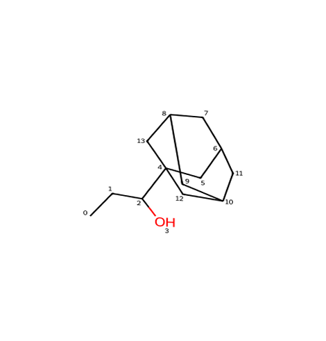 CCC(O)C12CC3CC(CC(C3)C1)C2